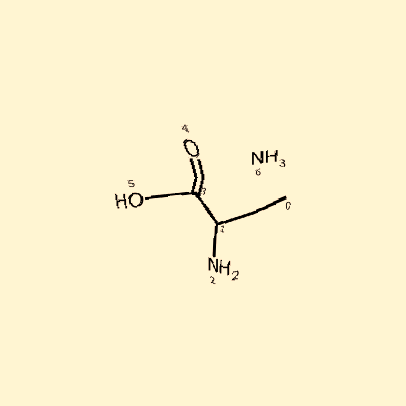 CC(N)C(=O)O.N